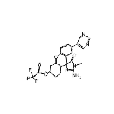 CN1C(=O)C2(N=C1N)c1cc(-c3cncnc3)ccc1OC1CC(OC(=O)C(F)(F)F)CCC12